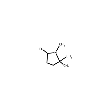 CC(C)C1CCC(C)(C)N1C